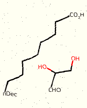 CCCCCCCCCCCCCCCCCC(=O)O.O=CC(O)CO